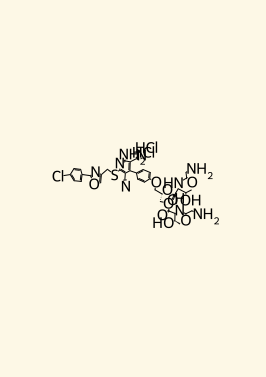 CC(O)C(NC(=O)CN)C(=O)O[C@H](COC(=O)[C@@H](NC(=O)CN)[C@@H](C)O)COc1ccc(-c2c(C#N)c(N)nc(SCc3coc(-c4ccc(Cl)cc4)n3)c2C#N)cc1.Cl.Cl